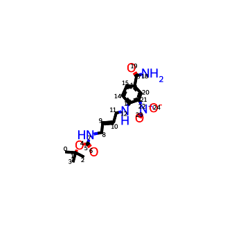 CC(C)(C)OC(=O)NC/C=C/CNc1ccc(C(N)=O)cc1[N+](=O)[O-]